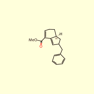 COC(=O)C1=CCC[C@H]2CC(Cc3ccccc3)C=C12